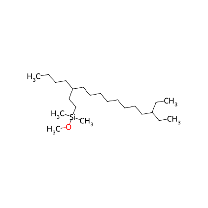 CCCCC(CCCCCCCCC(CC)CC)CC[Si](C)(C)OC